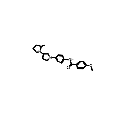 COc1ccc(C(=O)Nc2ccc(N3CCC(N4CCCC4C)C3)cc2)cc1